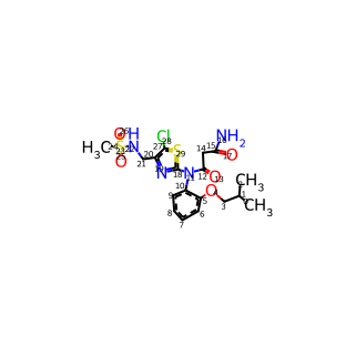 CC(C)COc1ccccc1N(C(=O)CC(N)=O)c1nc(CNS(C)(=O)=O)c(Cl)s1